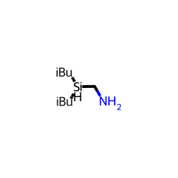 CCC(C)[SiH](CN)C(C)CC